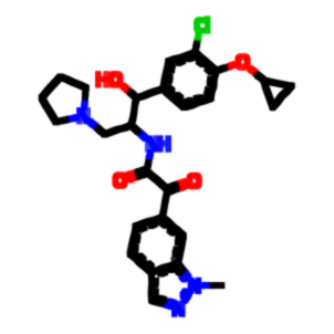 Cn1ncc2ccc(C(=O)C(=O)NC(CN3CCCC3)C(O)c3ccc(OC4CC4)c(Cl)c3)cc21